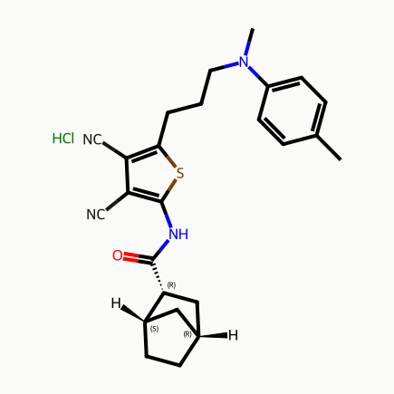 Cc1ccc(N(C)CCCc2sc(NC(=O)[C@@H]3C[C@@H]4CC[C@H]3C4)c(C#N)c2C#N)cc1.Cl